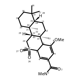 CNC(=O)C1=CC2C(C(OC)=C1)[C@]1(C)CC[C@H]3C(C)(C)CCC[C@]3(C)[C@H]1CS2(=O)=O